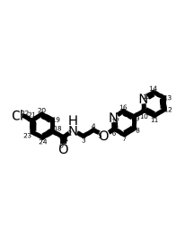 O=C(NCCOc1ccc(-c2ccccn2)cn1)c1ccc(Cl)cc1